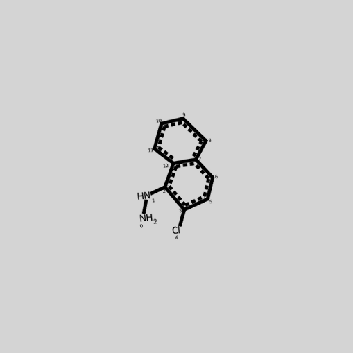 NNc1c(Cl)ccc2ccccc12